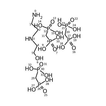 NCCNCCO.O=P(O)(O)CP(=O)(O)O.O=P(O)(O)CP(=O)(O)O.O=P(O)(O)CP(=O)(O)O